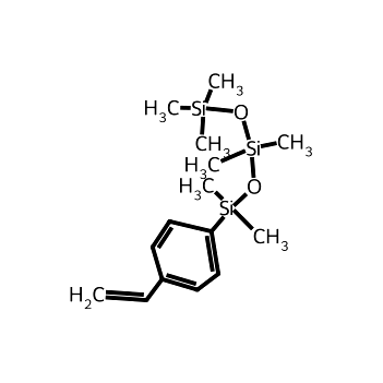 C=Cc1ccc([Si](C)(C)O[Si](C)(C)O[Si](C)(C)C)cc1